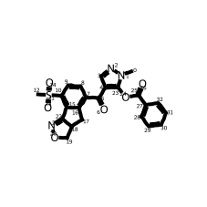 Cn1ncc(C(=O)c2ccc(S(C)(=O)=O)c3c2CC2CON=C32)c1OC(=O)c1ccccc1